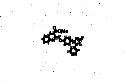 COC(=O)c1cc2ccccc2nc1COc1ccc(-c2nn(C)cc2-c2ccncc2)cc1